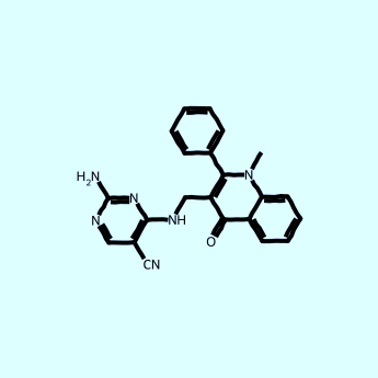 Cn1c(-c2ccccc2)c(CNc2nc(N)ncc2C#N)c(=O)c2ccccc21